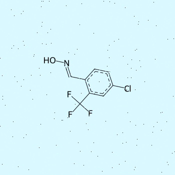 ON=Cc1ccc(Cl)cc1C(F)(F)F